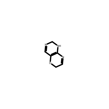 C1=NCNC2=C1OCC=N2